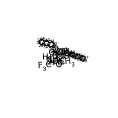 CC(COC(=O)C(C)(C)CC(C)(CC(C)(C)C(=O)Oc1ccc2cc3ccccc3cc2c1)C(=O)OC1CC2CC1C1C3CC(C4C5CCC(C5)C34)C21)C(F)(F)F